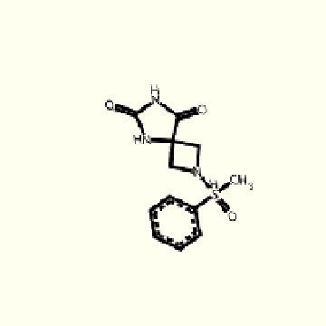 C[SH](=O)(c1ccccc1)N1CC2(C1)NC(=O)NC2=O